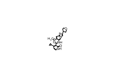 COc1cc2nc(C3CCOCC3)cn2cc1NC(=O)c1c(C2CC2)cc[nH]c1=O